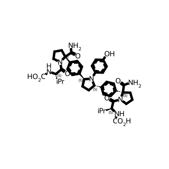 CC(C)[C@H](NC(=O)O)C(=O)N1CCC[C@@]1(C(N)=O)c1ccc([C@@H]2CC[C@@H](c3ccc([C@]4(C(N)=O)CCCN4C(=O)[C@@H](NC(=O)O)C(C)C)cc3)N2c2ccc(O)cc2)cc1